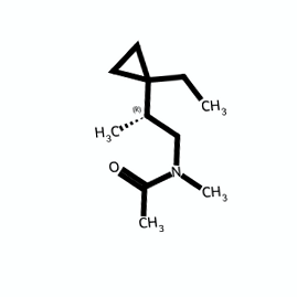 CCC1([C@@H](C)CN(C)C(C)=O)CC1